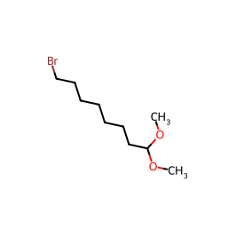 COC(CCCCCCCBr)OC